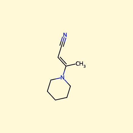 CC(=CC#N)N1CCCCC1